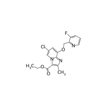 CCOC(=O)c1c(C)nc2c(OCc3ncccc3F)cc(Cl)cn12